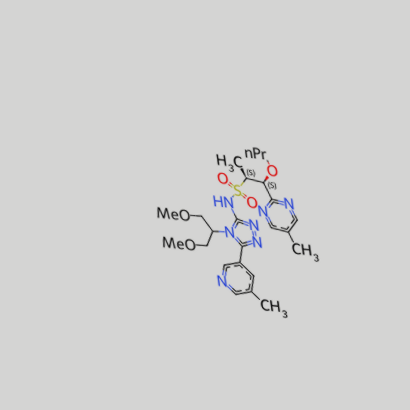 CCCO[C@@H](c1ncc(C)cn1)[C@H](C)S(=O)(=O)Nc1nnc(-c2cncc(C)c2)n1C(COC)COC